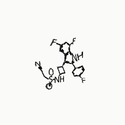 N#CCS(=O)(=O)N[C@H]1C[C@@H](c2c(-c3ccc(F)cc3)[nH]c3c(F)cc(F)cc32)C1